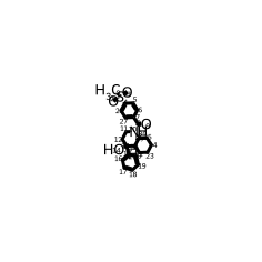 CS(=O)(=O)c1ccc(C(=O)N2CCC(O)(c3ccccc3)[C@H]3CCCC[C@@H]32)cc1